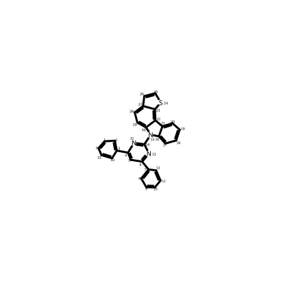 c1ccc(-c2cc(-c3ccccc3)nc(-n3c4ccccc4c4c5sccc5ccc43)n2)cc1